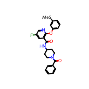 CSc1cccc(Oc2ncc(F)cc2C(=O)NC2CCN(C(=O)c3ccccc3)CC2)c1